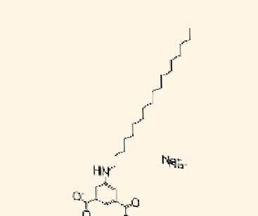 CCCCCCCCCCCCCCCCCCNc1cc(C(=O)[O-])cc(C(=O)[O-])c1.[Na+].[Na+]